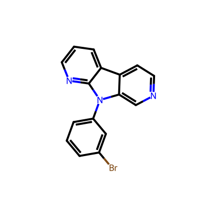 Brc1cccc(-n2c3cnccc3c3cccnc32)c1